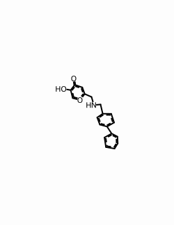 O=c1cc(CNCc2ccc(-c3ccccc3)cc2)occ1O